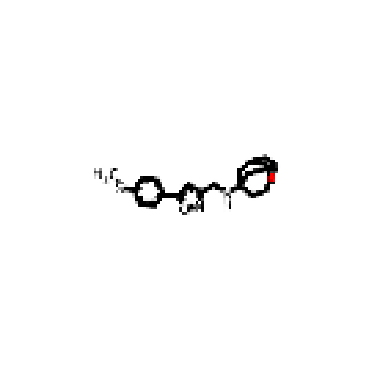 CSc1ccc(-c2cc(CNC34CC5CCC(CC(C5)C3)C4)no2)cc1